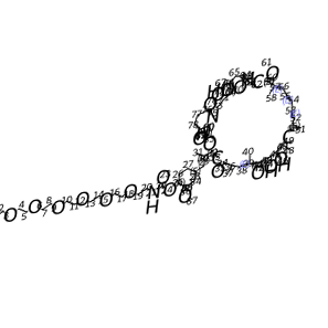 CCCOCCOCCOCCOCCOCCOCCNC(=O)O[C@@H]1CC[C@@H](C[C@@H](C)[C@@H]2CC(=O)C(C)/C=C(\C)[C@@H](O)[C@@H](O)C(=O)[C@H](C)C[C@H](C)/C=C/C=C/C=C(\C)[C@@H](OC)C[C@@H]3CC[C@@H](C)[C@@](O)(O3)C(=O)C(=O)N3CCCC[C@H]3C(=O)O2)C[C@H]1OC